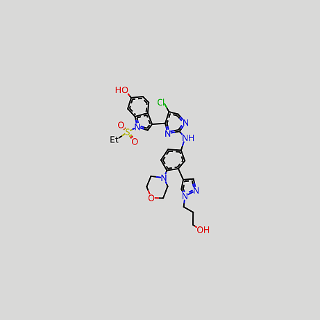 CCS(=O)(=O)n1cc(-c2nc(Nc3ccc(N4CCOCC4)c(-c4cnn(CCCO)c4)c3)ncc2Cl)c2ccc(O)cc21